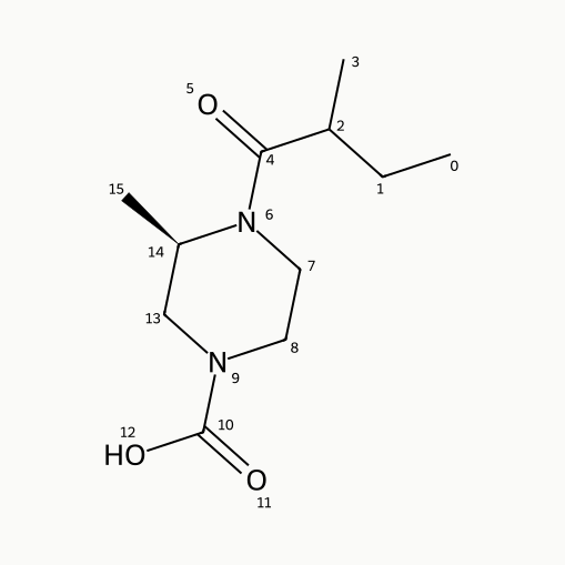 CCC(C)C(=O)N1CCN(C(=O)O)C[C@H]1C